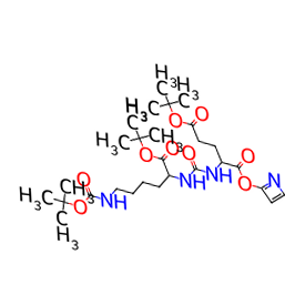 CC(C)(C)OC(=O)CCC(NC(=O)NC(CCCCNC(=O)OC(C)(C)C)C(=O)OC(C)(C)C)C(=O)OC1=NC=C1